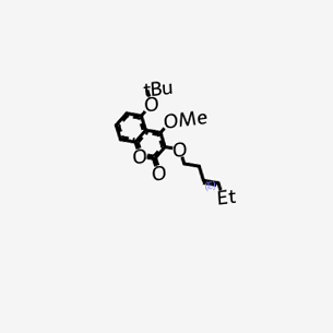 CC/C=C/CCOc1c(OC)c2c(OC(C)(C)C)cccc2oc1=O